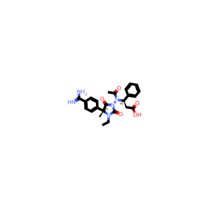 CCN1C(=O)N(N(C(C)=O)[C@H](CC(=O)O)c2ccccc2)C(=O)[C@@]1(C)c1ccc(C(=N)N)cc1